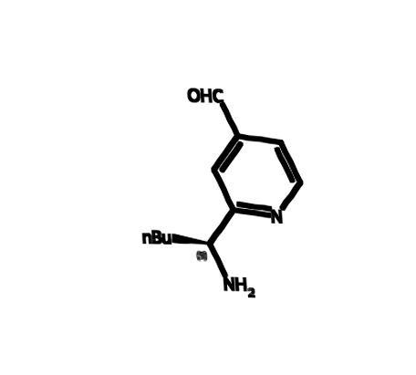 CCCC[C@H](N)c1cc(C=O)ccn1